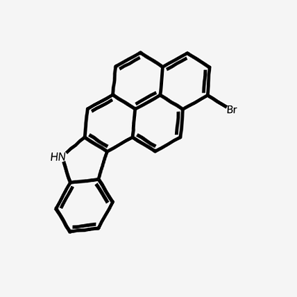 Brc1ccc2ccc3cc4[nH]c5ccccc5c4c4ccc1c2c34